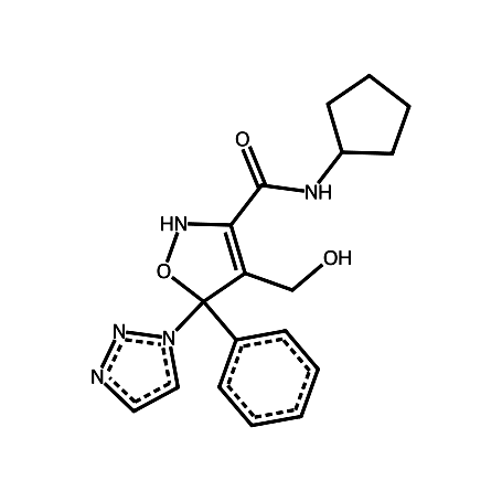 O=C(NC1CCCC1)C1=C(CO)C(c2ccccc2)(n2ccnn2)ON1